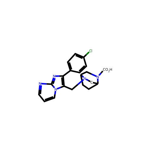 O=C(O)N1CC2CCC1CN2Cc1c(-c2ccc(Cl)cc2)nc2ncccn12